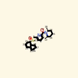 C=S(=O)(Cc1cccc(C(=O)N2[C@H](C)CCC[C@@H]2C)n1)c1cccc2ccccc12